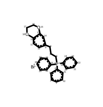 [Br-].c1ccc([P+](CCCc2ccc3c(c2)OCCO3)(c2ccccc2)c2ccccc2)cc1